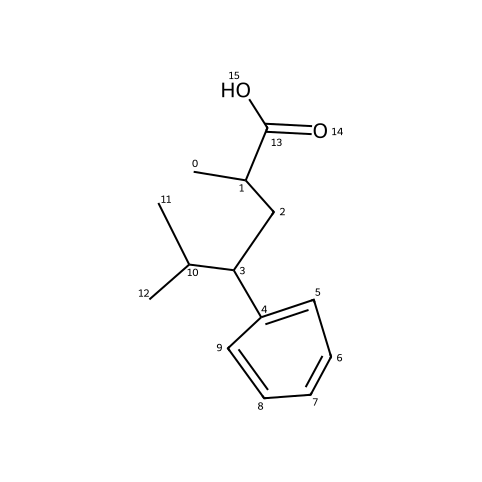 CC(CC(c1ccccc1)C(C)C)C(=O)O